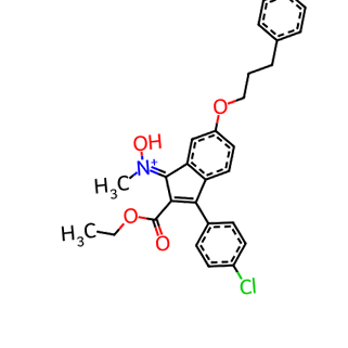 CCOC(=O)C1=C(c2ccc(Cl)cc2)c2ccc(OCCCc3ccccc3)cc2/C1=[N+](/C)O